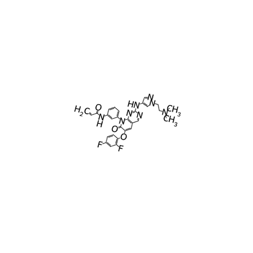 C=CC(=O)Nc1cccc(-n2c(=O)c(Oc3ccc(F)cc3F)cc3cnc(Nc4cnn(CCN(C)C)c4)nc32)c1